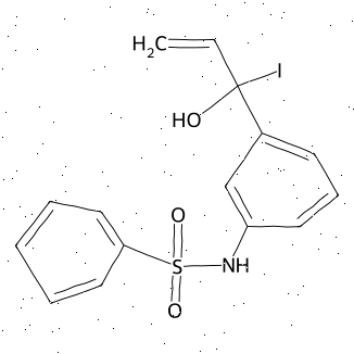 C=CC(O)(I)c1cccc(NS(=O)(=O)c2ccccc2)c1